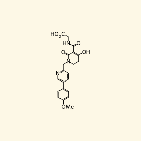 COc1ccc(-c2ccc(CN3CCC(O)=C(C(=O)NCC(=O)O)C3=O)nc2)cc1